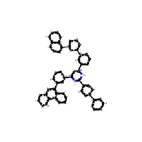 c1ccc(-c2ccc(-c3nc(-c4cccc(-c5cccc(-c6cccc7ccccc67)c5)c4)cc(-c4cccc(-c5cc6ccccc6c6ccccc56)c4)n3)cc2)cc1